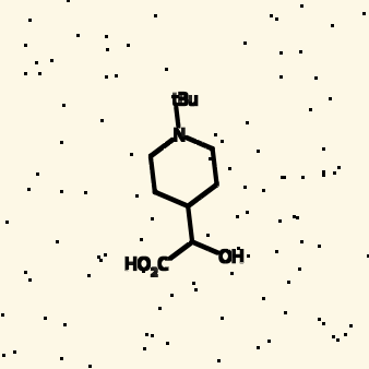 CC(C)(C)N1CCC(C(O)C(=O)O)CC1